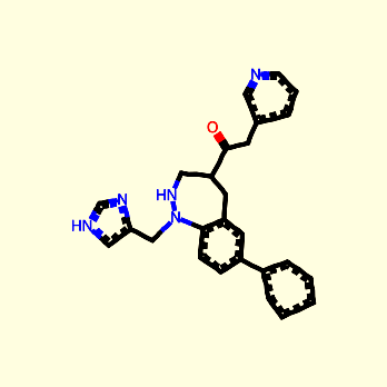 O=C(Cc1cccnc1)C1CNN(Cc2c[nH]cn2)c2ccc(-c3ccccc3)cc2C1